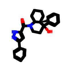 O=C(c1cc(-c2ccccc2)n[nH]1)N1CC[C@@](O)(c2ccccc2)[C@@H]2CCCCC21